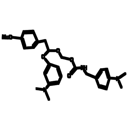 COc1ccc(CC(OCOC(=O)NCc2ccc(N(C)C)cc2)Oc2cccc(N(C)C)c2)cc1